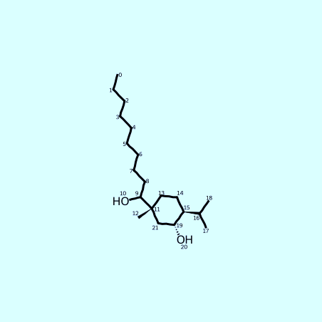 CCCCCCCCCC(O)[C@]1(C)CC[C@@H](C(C)C)[C@H](O)C1